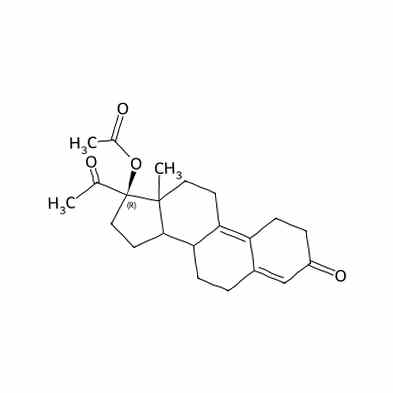 CC(=O)O[C@]1(C(C)=O)CCC2C3CCC4=CC(=O)CCC4=C3CCC21C